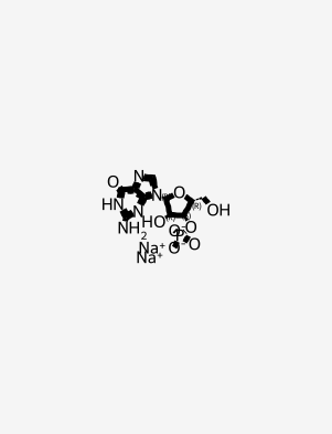 Nc1nc2c(ncn2[C@@H]2O[C@H](CO)[C@@H](OP(=O)([O-])[O-])[C@H]2O)c(=O)[nH]1.[Na+].[Na+]